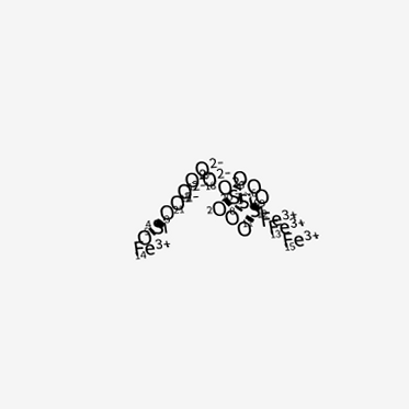 O=[Si]=O.O=[Si]=O.O=[Si]=O.O=[Si]=O.[Fe+3].[Fe+3].[Fe+3].[Fe+3].[O-2].[O-2].[O-2].[O-2].[O-2].[O-2]